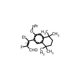 CCCOc1cc2c(cc1/C(CC)=C(/F)C=O)C(C)(C)CCC2(C)C